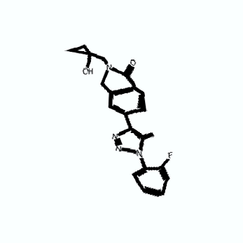 Cc1c(-c2ccc3c(c2)CN(CC2(O)CC2)C3=O)nnn1-c1ccccc1F